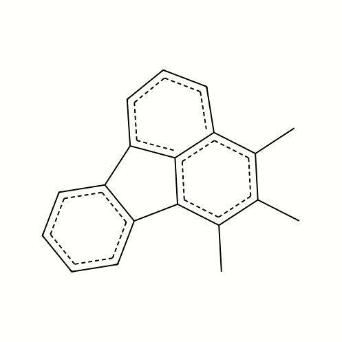 Cc1c(C)c2c3c(cccc3c1C)-c1ccccc1-2